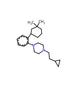 CC1(C)CCCC(c2ccccc2N2CCN(CCC3CC3)CC2)C1